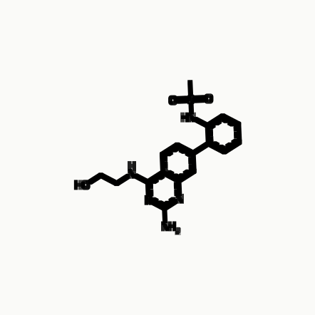 CS(=O)(=O)Nc1ccccc1-c1ccc2c(NCCO)nc(N)nc2c1